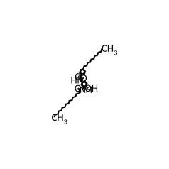 CCCCCCCCCCCCCCCC(=O)Nc1cc(NS(=O)(=O)c2ccc(CCCCCCCCCCCC)cc2)ccc1O